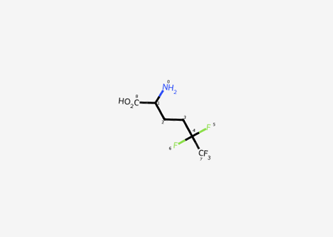 NC(CCC(F)(F)C(F)(F)F)C(=O)O